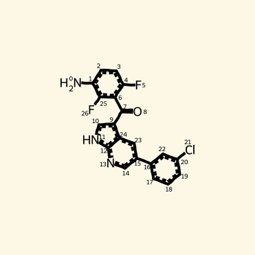 Nc1ccc(F)c(C(=O)c2c[nH]c3ncc(-c4cccc(Cl)c4)cc23)c1F